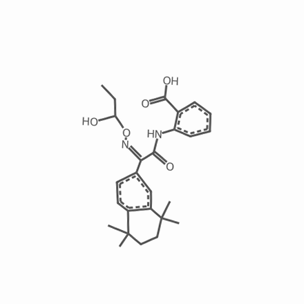 CCC(O)ON=C(C(=O)Nc1ccccc1C(=O)O)c1ccc2c(c1)C(C)(C)CCC2(C)C